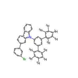 [2H]c1c([2H])c([2H])c(-c2cc(-c3c([2H])c([2H])c([2H])c([2H])c3[2H])cc(-n3c4ccccc4c4ccc(-c5cccc(Br)c5)cc43)c2)c([2H])c1[2H]